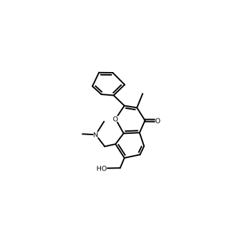 Cc1c(-c2ccccc2)oc2c(CN(C)C)c(CO)ccc2c1=O